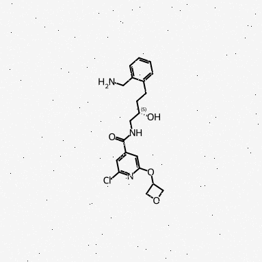 NCc1ccccc1CC[C@H](O)CNC(=O)c1cc(Cl)nc(OC2COC2)c1